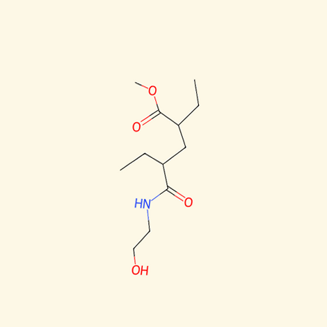 CCC(CC(CC)C(=O)OC)C(=O)NCCO